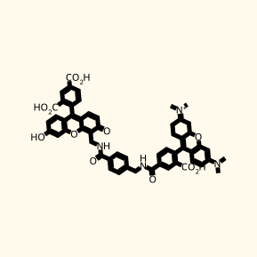 CN(C)c1ccc2c(c1)OC1CC(=[N+](C)C)CCC1=C2c1ccc(C(=O)NCc2ccc(C(=O)NCc3c4oc5cc(O)ccc5c(-c5ccc(C(=O)O)cc5C(=O)O)c-4ccc3=O)cc2)cc1C(=O)O